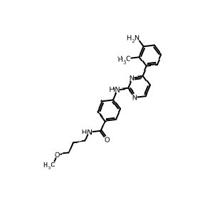 COCCCNC(=O)c1ccc(Nc2nccc(-c3cccc(N)c3C)n2)cc1